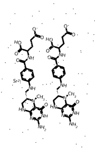 CN1c2c(nc(N)[nH]c2=O)NC[C@@H]1CNc1ccc(C(=O)NC(CCC(=O)[O-])C(=O)O)cc1.CN1c2c(nc(N)[nH]c2=O)NC[C@@H]1CNc1ccc(C(=O)NC(CCC(=O)[O-])C(=O)O)cc1.[Sr+2]